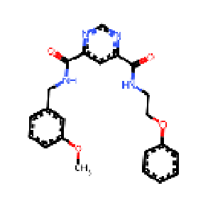 COc1cccc(CNC(=O)c2cc(C(=O)NCCOc3ccccc3)ncn2)c1